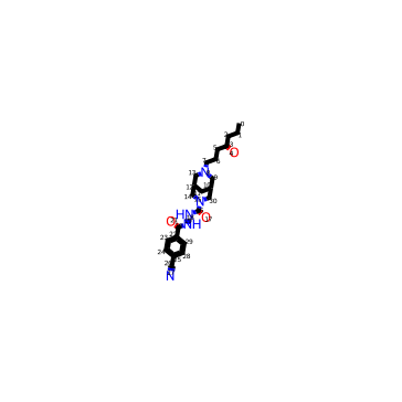 CCCC(=O)CCCN1CC2CC(C1)CN(C(=O)NNC(=O)c1ccc(C#N)cc1)C2